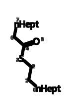 CCCCCCCCCSC(=O)CCCCCCCC